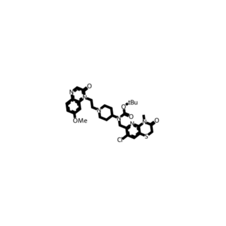 COc1ccc2ncc(=O)n(CCN3CCC(N(Cc4nc5c(cc4Cl)SCC(=O)N5C)C(=O)OC(C)(C)C)CC3)c2c1